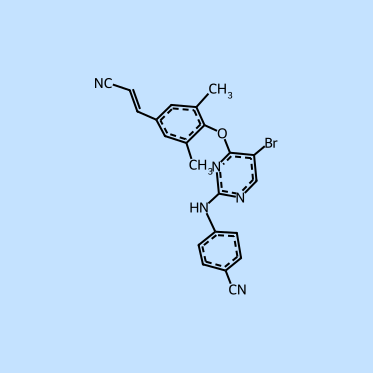 Cc1cc(/C=C/C#N)cc(C)c1Oc1nc(Nc2ccc(C#N)cc2)ncc1Br